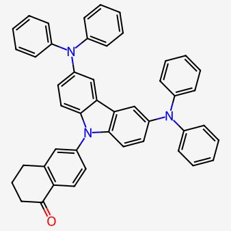 O=C1CCCc2cc(-n3c4ccc(N(c5ccccc5)c5ccccc5)cc4c4cc(N(c5ccccc5)c5ccccc5)ccc43)ccc21